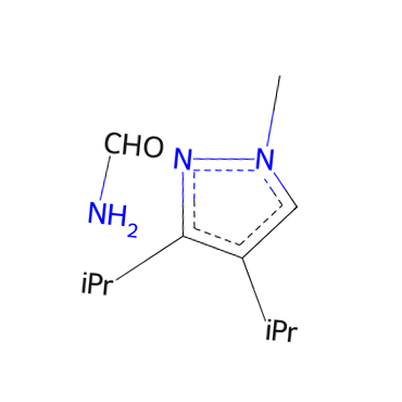 CC(C)c1cn(C)nc1C(C)C.NC=O